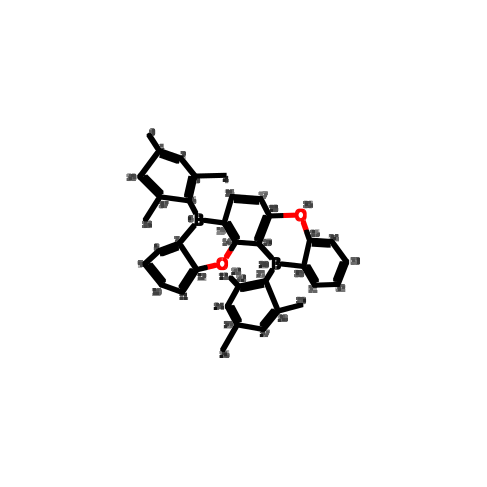 Cc1cc(C)c(B2c3ccccc3Oc3c2ccc2c3B(c3c(C)cc(C)cc3C)c3ccccc3O2)c(C)c1